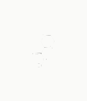 CCOC(=O)C1CSCCS1